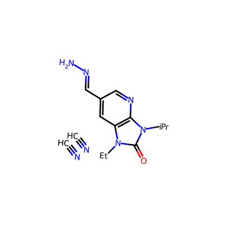 C#N.C#N.CCn1c(=O)n(C(C)C)c2ncc(C=NN)cc21